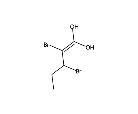 CCC(Br)C(Br)=C(O)O